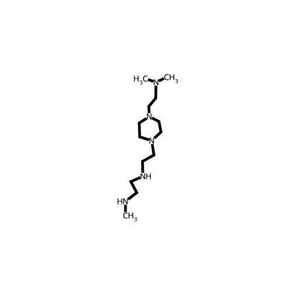 CNCCNCCN1CCN(CCN(C)C)CC1